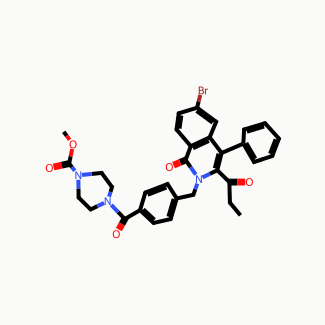 CCC(=O)c1c(-c2ccccc2)c2cc(Br)ccc2c(=O)n1Cc1ccc(C(=O)N2CCN(C(=O)OC)CC2)cc1